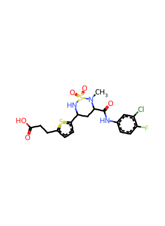 CN1C(C(=O)Nc2ccc(F)c(Cl)c2)CC(c2ccc(CCC(=O)O)s2)NS1(=O)=O